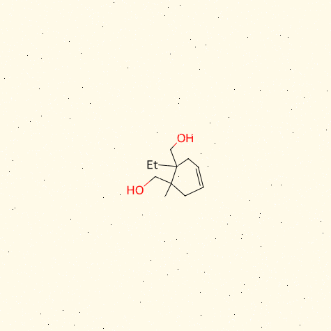 CCC1(CO)CC=CCC1(C)CO